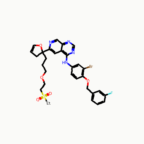 CCS(=O)(=O)CCOCCCC1(c2cc3c(Nc4ccc(OCc5cccc(F)c5)c(Br)c4)ncnc3cn2)CC=CO1